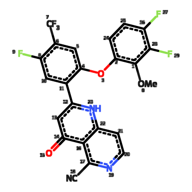 COc1c(Oc2cc(C(F)(F)F)c(F)cc2-c2cc(=O)c3c(C#N)nccc3[nH]2)ccc(F)c1F